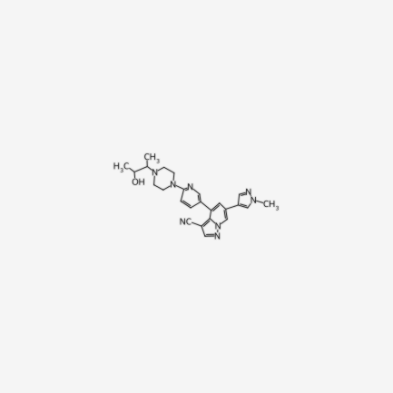 CC(O)C(C)N1CCN(c2ccc(-c3cc(-c4cnn(C)c4)cn4ncc(C#N)c34)cn2)CC1